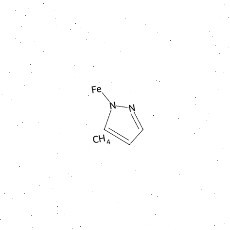 C.[Fe][n]1cccn1